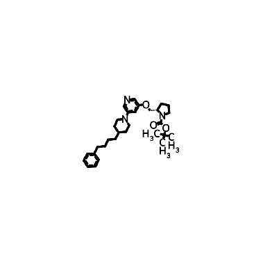 CC(C)(C)OC(=O)N1CCC[C@H]1COc1cncc(N2CCC(CCCCc3ccccc3)CC2)c1